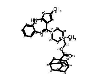 Cc1cc2c(s1)Nc1ccccc1N=C2N1CC[N+](C)(COC(=O)C23CC4CC(CC(C4)C2)C3)CC1